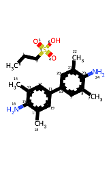 CCCS(=O)(=O)O.Cc1cc(-c2cc(C)c(N)c(C)c2)cc(C)c1N